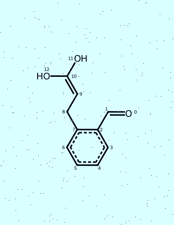 O=Cc1ccccc1CC=C(O)O